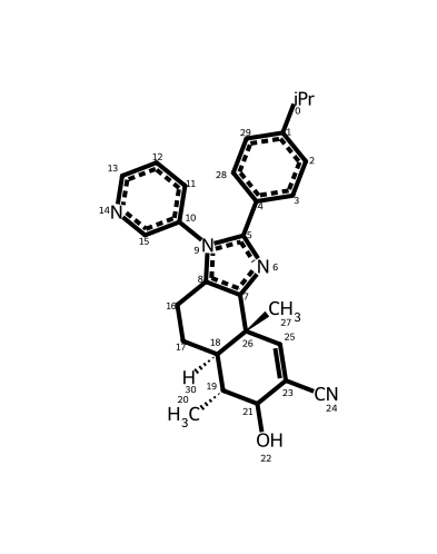 CC(C)c1ccc(-c2nc3c(n2-c2cccnc2)CC[C@@H]2[C@@H](C)C(O)C(C#N)=C[C@@]32C)cc1